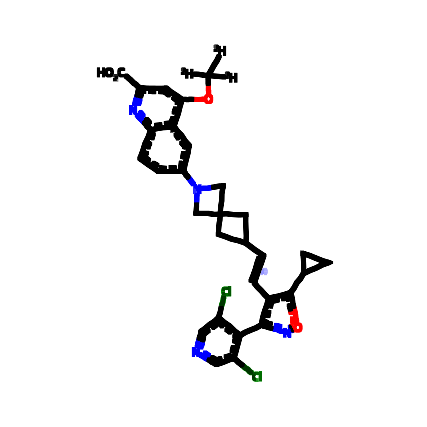 [2H]C([2H])([2H])Oc1cc(C(=O)O)nc2ccc(N3CC4(CC(/C=C/c5c(-c6c(Cl)cncc6Cl)noc5C5CC5)C4)C3)cc12